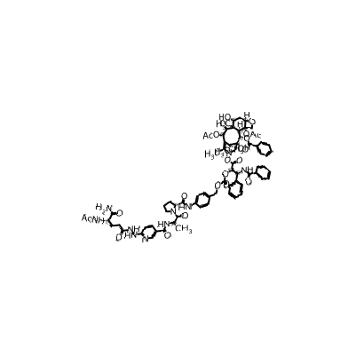 CC(=O)N[C@@H](CCC(=O)NNc1ccc(C(=O)N[C@H](C)C(=O)N2CCC[C@H]2C(=O)Nc2ccc(COC(=O)O[C@@H](C(=O)ON3C[C@@]4(O)[C@@H](OC(=O)c5ccccc5)[C@@H]5[C@]6(OC(C)=O)CO[C@@H]6C[C@H](O)[C@@]5(C)C(=O)[C@H](OC(C)=O)C(=C3C)C4(C)C)[C@@H](NC(=O)c3ccccc3)c3ccccc3)cc2)cn1)C(N)=O